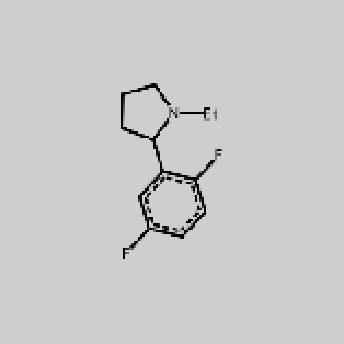 CCN1CCCC1c1cc(F)ccc1F